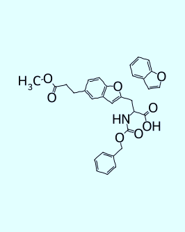 COC(=O)CCc1ccc2oc(CC(NC(=O)OCc3ccccc3)C(=O)O)cc2c1.c1ccc2occc2c1